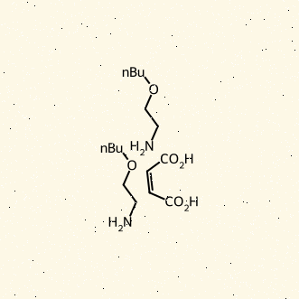 CCCCOCCN.CCCCOCCN.O=C(O)/C=C\C(=O)O